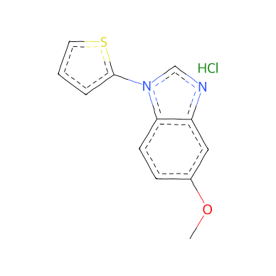 COc1ccc2c(c1)ncn2-c1cccs1.Cl